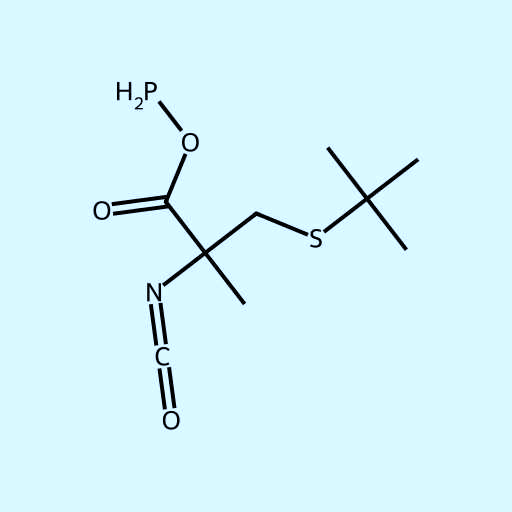 CC(C)(C)SCC(C)(N=C=O)C(=O)OP